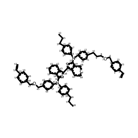 C=Cc1ccc(COCCCc2ccc(N(c3ccc(CCC)cc3)c3sc(-c4sc(N(c5ccc(CCC)cc5)c5ccc(COCc6ccc(C=C)cc6)cc5)c5ccccc45)c4ccccc34)cc2)cc1